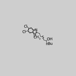 CCCCC(O)CSCCc1nc2cc(Cl)c(Cl)cc2n1C